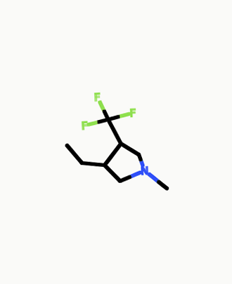 CCC1CN(C)CC1C(F)(F)F